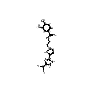 O=C(NCCn1ccc(-c2nnc(C(F)F)o2)n1)c1ccc(Cl)c(Cl)c1